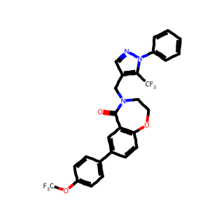 O=C1c2cc(-c3ccc(OC(F)(F)F)cc3)ccc2OCCN1Cc1cnn(-c2ccccc2)c1C(F)(F)F